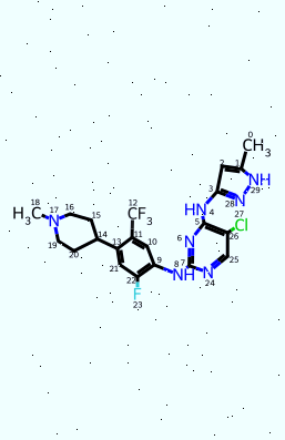 Cc1cc(Nc2nc(Nc3cc(C(F)(F)F)c(C4CCN(C)CC4)cc3F)ncc2Cl)n[nH]1